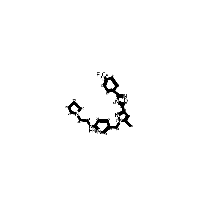 Cc1cc(-c2nc(-c3ccc(C(F)(F)F)cc3)no2)nn1Cc1ccc(NCCN2CCCC2)nc1